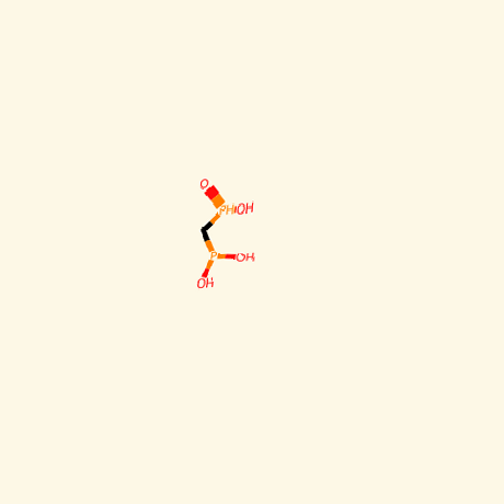 O=[PH](O)CP(O)O